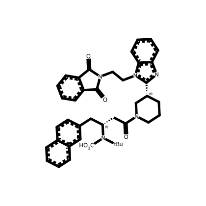 CC(C)(C)N(C(=O)O)[C@@H](CC(=O)N1CCC[C@@H](c2nc3ccccc3n2CCN2C(=O)c3ccccc3C2=O)C1)Cc1ccc2ccccc2c1